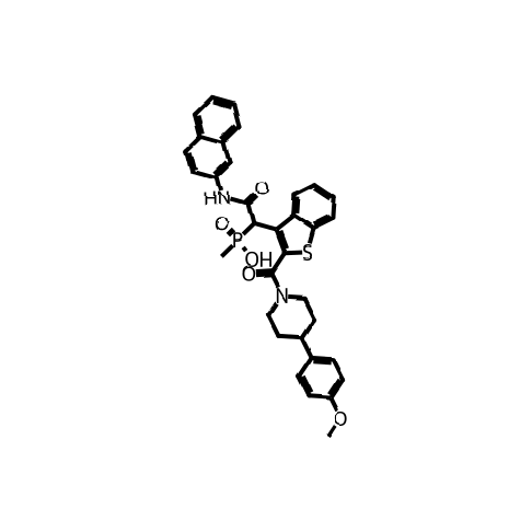 COc1ccc(C2CCN(C(=O)c3sc4ccccc4c3C(C(=O)Nc3ccc4ccccc4c3)P(C)(=O)O)CC2)cc1